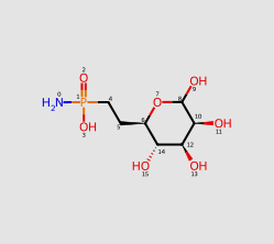 NP(=O)(O)CC[C@H]1OC(O)[C@@H](O)[C@@H](O)[C@@H]1O